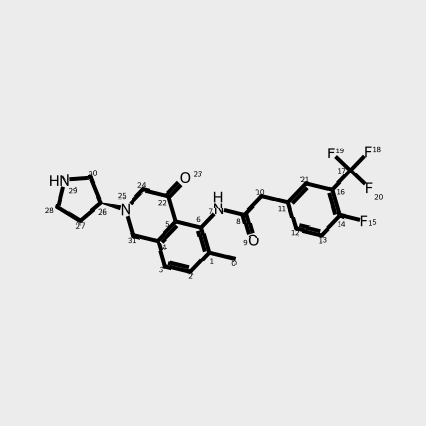 Cc1ccc2c(c1NC(=O)Cc1ccc(F)c(C(F)(F)F)c1)C(=O)CN([C@H]1CCNC1)C2